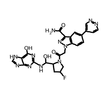 NC(=O)c1nn(CC(=O)N2CC(F)CC2C(O)Nc2nc(O)c3[nH]cnc3n2)c2ccc(-c3ccnnc3)cc12